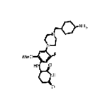 COc1cc(N2CCN(CC3CCC(N)CC3)CC2)c(F)cc1NC1CCC(=O)NC1=O